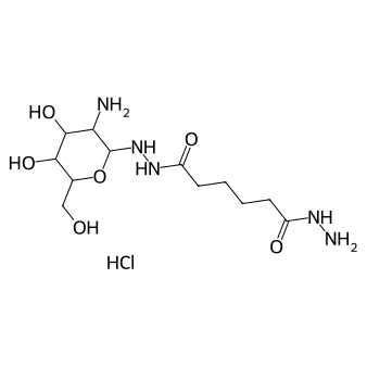 Cl.NNC(=O)CCCCC(=O)NNC1OC(CO)C(O)C(O)C1N